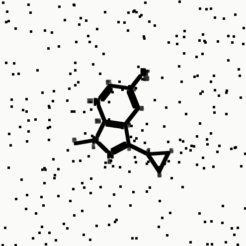 Cn1nc(C2CC2)c2cc(Br)cnc21